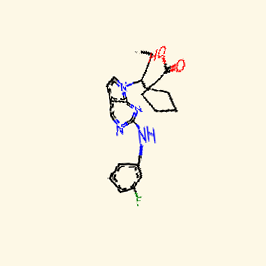 [CH2]CC(n1ccc2cnc(Nc3cccc(F)c3)nc21)C1(C(=O)O)CCCC1